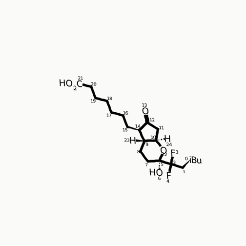 CC[C@H](C)CC(F)(F)[C@@]1(O)CC[C@H]2[C@@H](CC(=O)[C@@H]2CCCCCCC(=O)O)O1